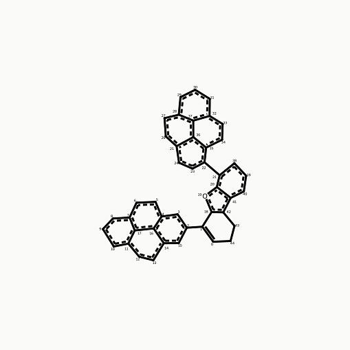 C1=C(c2cc3ccc4cccc5ccc(c2)c3c45)c2oc3c(-c4ccc5ccc6cccc7ccc4c5c67)cccc3c2CC1